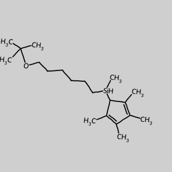 CC1=C(C)C([SiH](C)CCCCCCOC(C)(C)C)C(C)=C1C